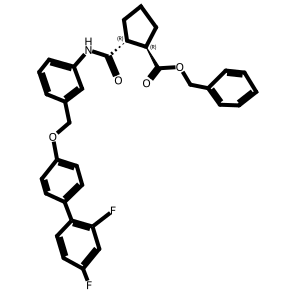 O=C(Nc1cccc(COc2ccc(-c3ccc(F)cc3F)cc2)c1)[C@@H]1CCC[C@H]1C(=O)OCc1ccccc1